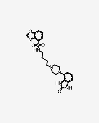 O=c1[nH]c2cccc(N3CCN(CCCCNS(=O)(=O)c4cccc5ocnc45)CC3)c2[nH]1